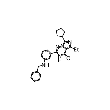 CCc1nc(C2CCCC2)n2nc(-c3cccc(NCc4ccccc4)c3)[nH]c(=O)c12